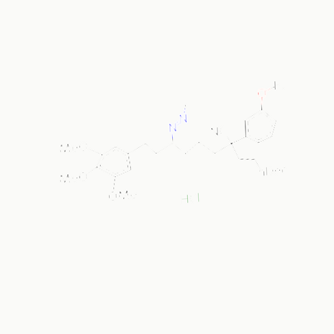 CCCCCCCCCCCCC(C#N)(CCCC(CCc1cc(OC)c(OC)c(OC)c1)/N=N/C)c1cccc(OCC)c1.Cl